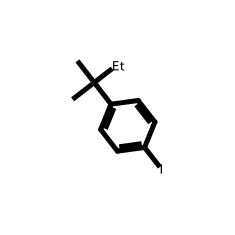 CCC(C)(C)c1ccc(I)cc1